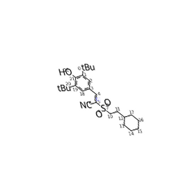 CC(C)(C)c1cc(/C=C(\C#N)S(=O)(=O)CCC2CCCCC2)cc(C(C)(C)C)c1O